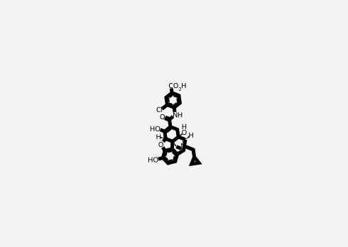 O=C(Nc1ccc(C(=O)O)cc1Cl)C1=C(O)[C@@H]2Oc3c(O)ccc4c3[C@@]23CCN(CC2CC2)[C@H](C4)[C@]3(O)C1